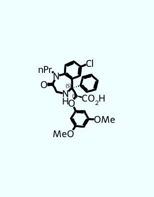 CCCN1C(=O)CN[C@](c2ccccc2)([C@H](Oc2cc(OC)cc(OC)c2)C(=O)O)c2cc(Cl)ccc21